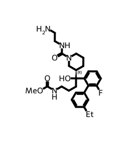 CCc1cccc(-c2c(F)cccc2C(O)(CCCNC(=O)OC)[C@@H]2CCCN(C(=O)NCCN)C2)c1